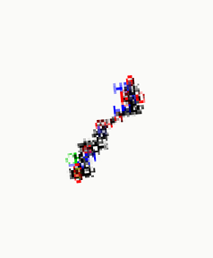 Cc1cc(Nc2ncc(Cl)c(Nc3ccccc3S(=O)(=O)C(C)C)n2)c(OC(C)C)cc1C1CCN(C(=O)COCCOCCNc2cccc3c2C(=O)N(C2CCC(=O)NC2=O)C3=O)CC1